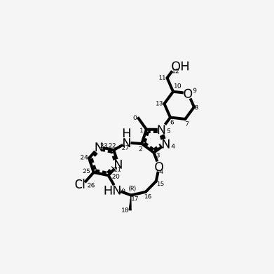 Cc1c2c(nn1C1CCOC(CO)C1)OCC[C@@H](C)Nc1nc(ncc1Cl)N2